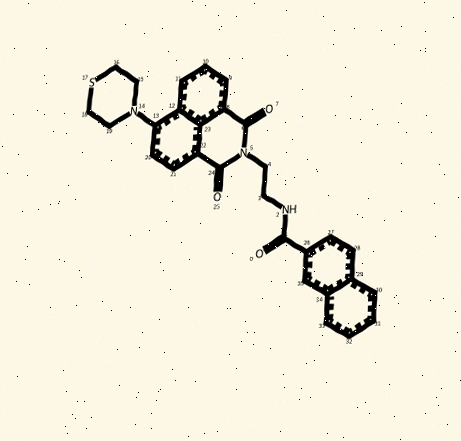 O=C(NCCN1C(=O)c2cccc3c(N4CCSCC4)ccc(c23)C1=O)c1ccc2ccccc2c1